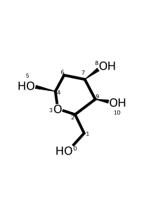 OCC1O[C@@H](O)C[C@@H](O)[C@H]1O